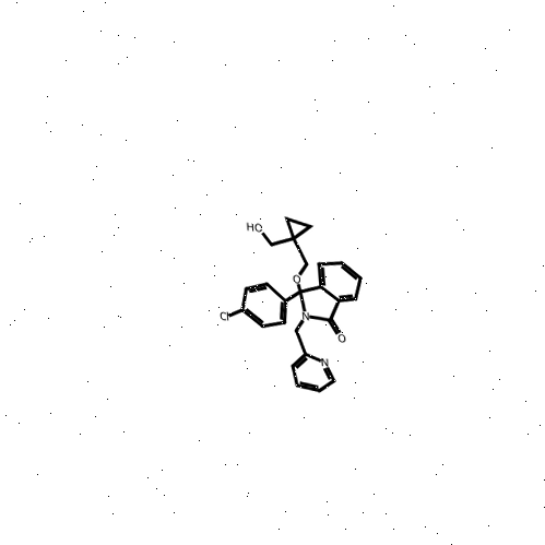 O=C1c2ccccc2C(OCC2(CO)CC2)(c2ccc(Cl)cc2)N1Cc1ccccn1